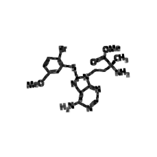 COC(=O)[C@](C)(N)CCn1c(Sc2cc(OC)ccc2Br)nc2c(N)ncnc21